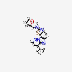 CCC(CC)c1cc(C)nn2c(-c3sc(N(C)Cc4ccco4)nc3C)c(C)nc12